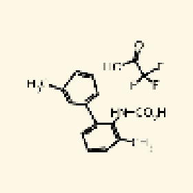 Cc1cccc(-c2cccc(C)c2NC(=O)O)c1.O=C(O)C(F)(F)F